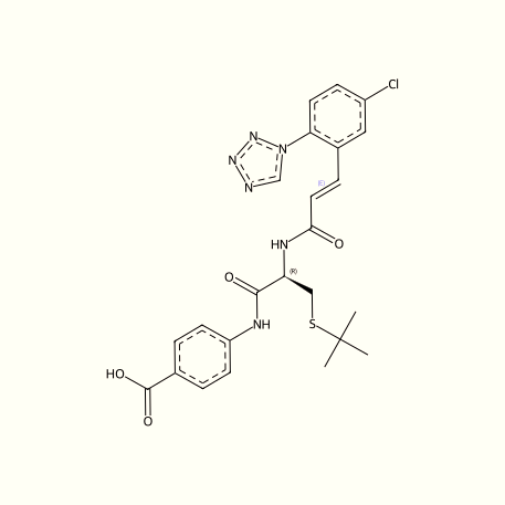 CC(C)(C)SC[C@H](NC(=O)/C=C/c1cc(Cl)ccc1-n1cnnn1)C(=O)Nc1ccc(C(=O)O)cc1